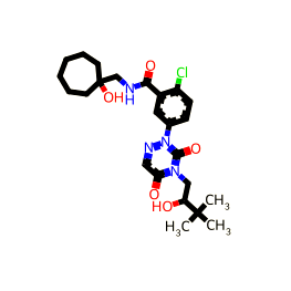 CC(C)(C)C(O)Cn1c(=O)cnn(-c2ccc(Cl)c(C(=O)NCC3(O)CCCCCC3)c2)c1=O